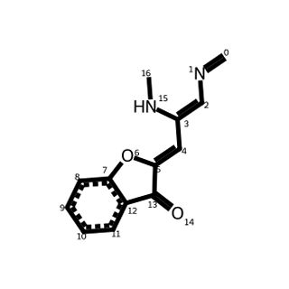 C=N/C=C(/C=C1\Oc2ccccc2C1=O)NC